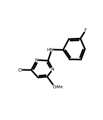 COc1cc(Cl)nc(Nc2cccc(F)c2)n1